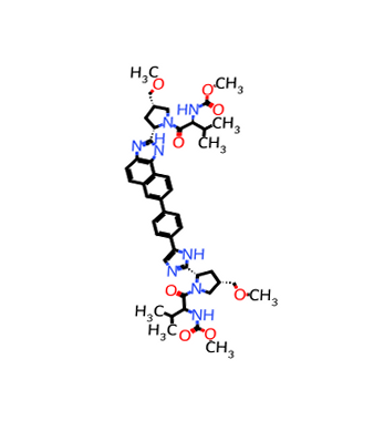 COC[C@H]1C[C@@H](c2ncc(-c3ccc(-c4ccc5c(ccc6nc([C@@H]7C[C@H](COC)CN7C(=O)[C@@H](NC(=O)OC)C(C)C)[nH]c65)c4)cc3)[nH]2)N(C(=O)C(NC(=O)OC)C(C)C)C1